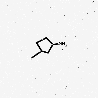 NC1CCC(I)C1